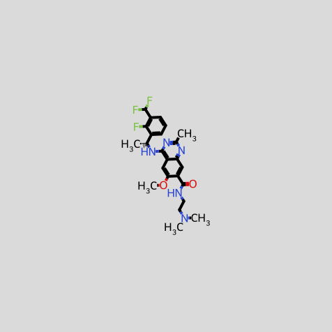 COc1cc2c(N[C@H](C)c3cccc(C(F)F)c3F)nc(C)nc2cc1C(=O)NCCN(C)C